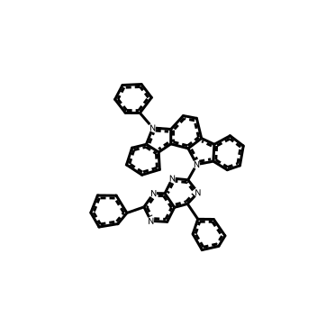 c1ccc(-c2ncc3c(-c4ccccc4)nc(-n4c5ccccc5c5ccc6c(c7ccccc7n6-c6ccccc6)c54)nc3n2)cc1